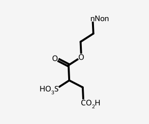 CCCCCCCCCCCOC(=O)C(CC(=O)O)S(=O)(=O)O